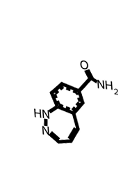 NC(=O)c1ccc2c(c1)C=CC=NN2